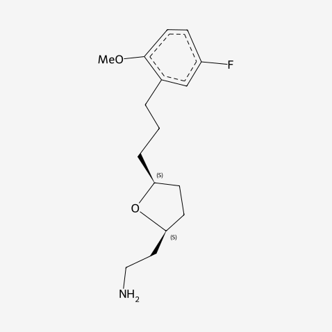 COc1ccc(F)cc1CCC[C@H]1CC[C@@H](CCN)O1